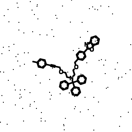 Cc1ccc(C#CCOCCN(CCOCc2ccc(-c3nc4ccccc4o3)cc2)C(c2ccccc2)(c2ccccc2)c2ccccc2)cc1